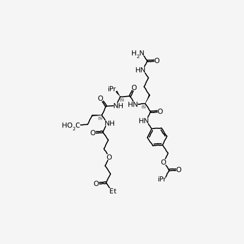 CCC(=O)CCOCCC(=O)N[C@@H](CCC(=O)O)C(=O)N[C@H](C(=O)N[C@@H](CCCNC(N)=O)C(=O)Nc1ccc(COC(=O)C(C)C)cc1)C(C)C